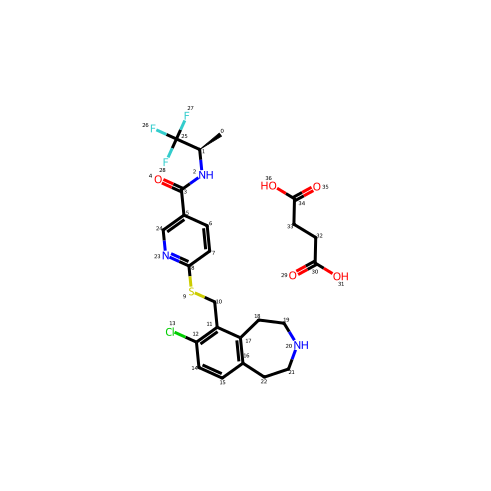 C[C@@H](NC(=O)c1ccc(SCc2c(Cl)ccc3c2CCNCC3)nc1)C(F)(F)F.O=C(O)CCC(=O)O